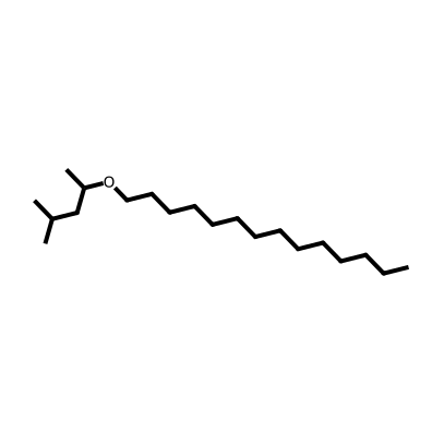 CCCCCCCCCCCCCCOC(C)CC(C)C